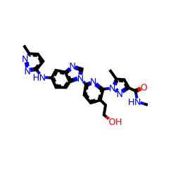 CNC(=O)c1cc(C)n(-c2nc(-n3cnc4cc(Nc5ccc(C)nn5)ccc43)ccc2CCO)n1